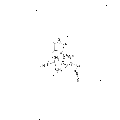 CC(C)(C#N)c1cc(N=C=S)nn1[C@@H]1CCOC1